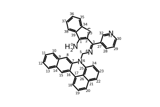 Nc1c(/C(=N\CN2c3cc4ccccc4cc3-c3cccc4cccc2c34)c2cccnc2)sc2ccccc12